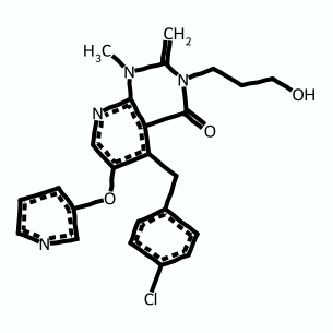 C=C1N(CCCO)C(=O)c2c(ncc(Oc3cccnc3)c2Cc2ccc(Cl)cc2)N1C